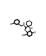 Clc1cccc(CNC2=Nc3c(Cl)ccc(Cl)c3NC23CCSCC3)c1